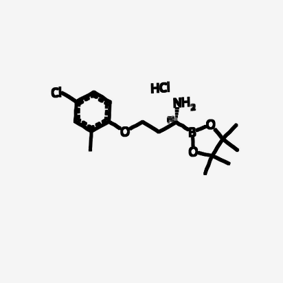 Cc1cc(Cl)ccc1OCC[C@H](N)B1OC(C)(C)C(C)(C)O1.Cl